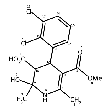 COC(=O)C1=C(C)NC(O)(C(F)(F)F)C(C(=O)O)C1c1cccc(Cl)c1Cl